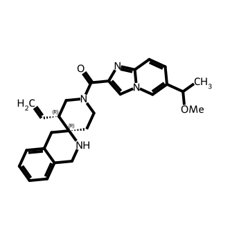 C=C[C@@H]1CN(C(=O)c2cn3cc(C(C)OC)ccc3n2)CC[C@]12Cc1ccccc1CN2